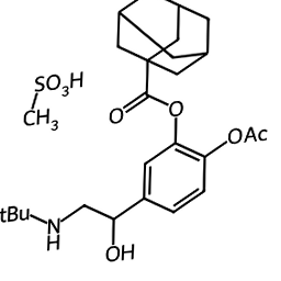 CC(=O)Oc1ccc(C(O)CNC(C)(C)C)cc1OC(=O)C12CC3CC(CC(C3)C1)C2.CS(=O)(=O)O